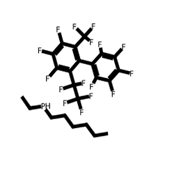 CCCCCCPCC.Fc1c(F)c(F)c(-c2c(C(F)(F)F)c(F)c(F)c(F)c2C(F)(F)C(F)(F)F)c(F)c1F